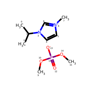 CC(C)n1cc[n+](C)c1.COP(=O)([O-])OC